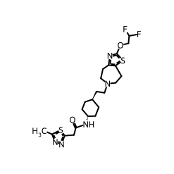 Cc1nnc(CC(=O)N[C@H]2CC[C@H](CCN3CCc4nc(OCC(F)F)sc4CC3)CC2)s1